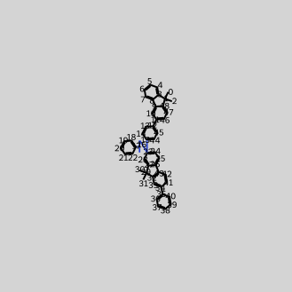 CC1(C)c2ccccc2-c2cc(-c3ccc(N(c4ccccc4)c4ccc5c(c4)C(C)(C)c4cc(-c6ccccc6)ccc4-5)cc3)ccc21